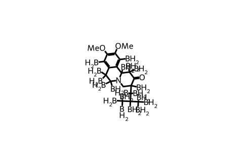 Bc1c(OC)c(OC)c(B)c2c1C(B)(B)C(B)(B)N1CC(B)(C(B)(B)C(B)(C(B)(B)B)C(B)(B)B)C(=O)C(B)(B)C21B